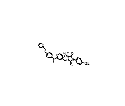 CC(C)(C)c1ccc(N2C(=O)N(Cc3ccnc(Nc4ccc(CCN5CCCC5)cc4)c3)C(C)(C)C2=O)cc1